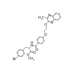 COC(=O)C(Cc1ccc(Br)cc1)NC(=O)c1ccc(OCCOc2nc3ccccc3nc2C)cc1